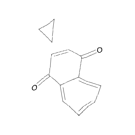 C1CC1.O=C1C=CC(=O)c2ccccc21